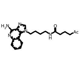 CC(=O)CCCC(=O)NCCCCn1cnc2c(N)nc3ccccc3c21